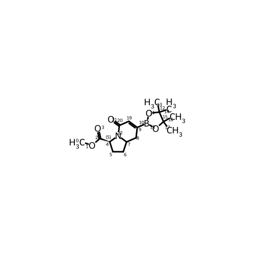 COC(=O)[C@@H]1CCC2CC(B3OC(C)(C)C(C)(C)O3)=CC(=O)N21